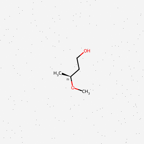 CO[C@@H](C)CCO